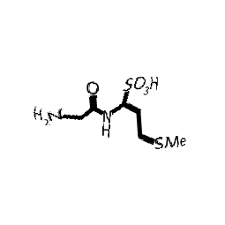 CSCCC(NC(=O)CN)S(=O)(=O)O